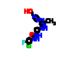 Cc1nc(Nc2cccc(NC(=O)Nc3ccc(F)c(Cl)c3)c2)cc(N2CCN(CCO)CC2)n1